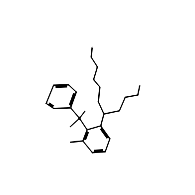 CCCCCCC(CCCC)c1cccc(O)c1C(C)(C)c1ccccc1